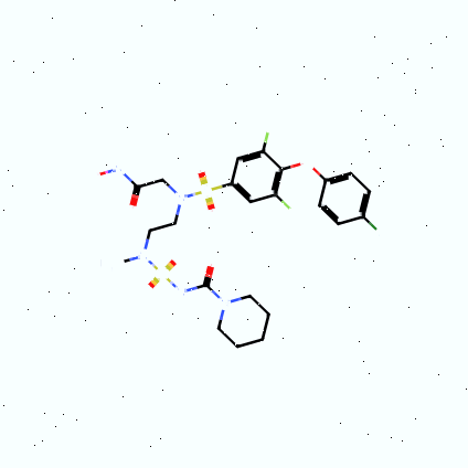 CN(CCN(CC(=O)NO)S(=O)(=O)c1cc(F)c(Oc2ccc(Cl)cc2)c(F)c1)S(=O)(=O)NC(=O)N1CCCCC1